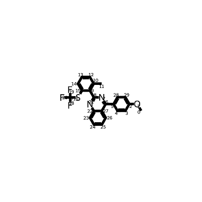 COc1ccc(-c2nc(-c3c(C)cccc3SC(F)(F)F)nc3ccccc23)cc1